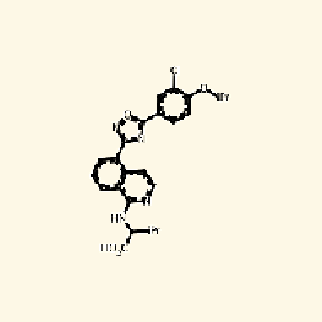 CC(C)Oc1ccc(-c2nc(-c3cccc4c(NC(C(=O)O)C(C)C)nccc34)no2)cc1Cl